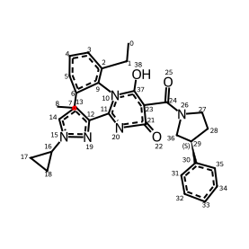 CCc1cccc(CC)c1-n1c(-c2ccn(C3CC3)n2)nc(=O)c(C(=O)N2CC[C@@H](c3ccccc3)C2)c1O